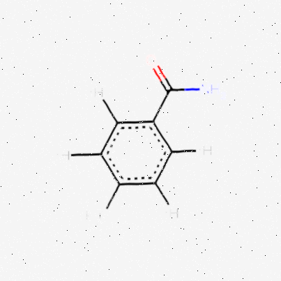 [2H]c1c([2H])c(C(F)(F)F)c([2H])c([2H])c1C(N)=O